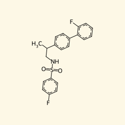 CC(CNS(=O)(=O)c1ccc(F)cc1)c1ccc(-c2ccccc2F)cc1